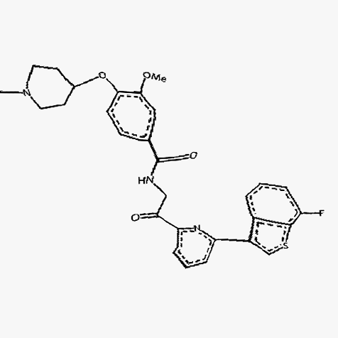 COc1cc(C(=O)NCC(=O)c2cccc(-c3csc4c(F)cccc34)n2)ccc1OC1CCN(C)CC1